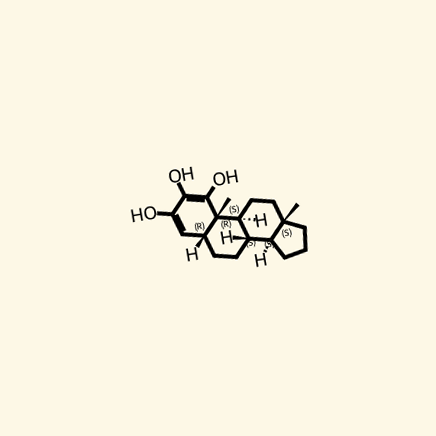 C[C@@]12CCC[C@H]1[C@@H]1CC[C@@H]3C=C(O)C(O)=C(O)[C@]3(C)[C@H]1CC2